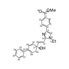 CCn1cc(-c2ccc(C(=O)OC)cc2)nc1C=CC1(O)C=CC(c2ccccc2)=CC1